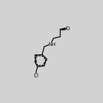 O=CCCNCc1ccc(Cl)cc1